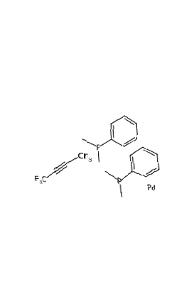 CP(C)c1ccccc1.CP(C)c1ccccc1.FC(F)(F)C#CC(F)(F)F.[Pd]